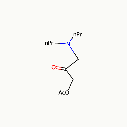 CCCN(CCC)CC(=O)COC(C)=O